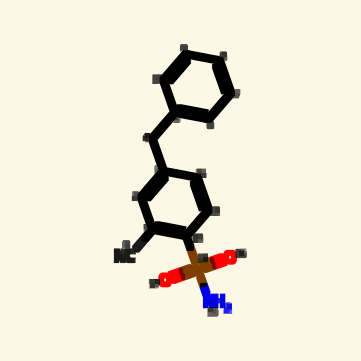 N#Cc1cc(Cc2ccccc2)ccc1S(N)(=O)=O